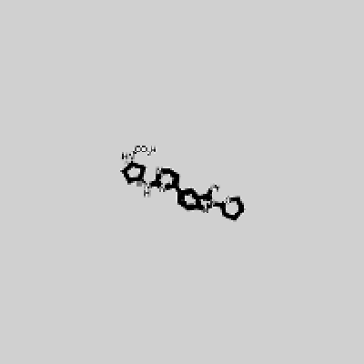 CC(C)c1c2cc(-c3ccnc(N[C@H]4CC[C@H](NC(=O)O)C4)n3)ccc2nn1C1CCCCO1